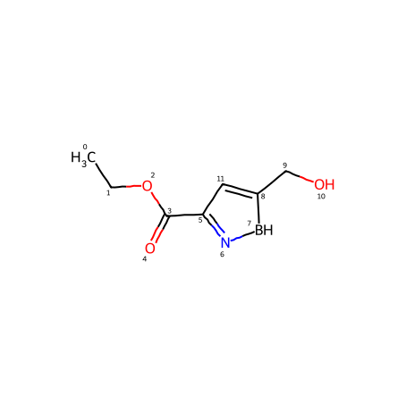 CCOC(=O)C1=NBC(CO)=C1